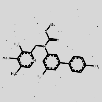 COc1c(C)cnc(CN(C(=O)OC(C)(C)C)c2cc(C)cc(-c3ccc(C)cc3)c2)c1C